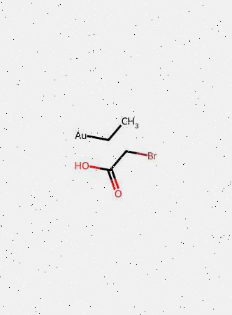 C[CH2][Au].O=C(O)CBr